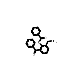 CCc1cccc(C(=O)c2ccccc2)c1OC(=O)c1ccccc1